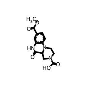 COC(=O)c1ccc2c(c1)NC(=O)C1CN(C(=O)O)CCN21